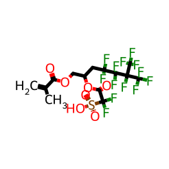 C=C(C)C(=O)OCC(CC(F)(F)C(F)(F)C(F)(C(F)(F)F)C(F)(F)F)OC(=O)C(F)(F)S(=O)(=O)O